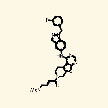 CNC/C=C/C(=O)N1CCc2c(sc3ncnc(Nc4ccc5c(cnn5Cc5cccc(F)c5)c4)c23)C1